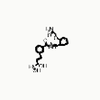 NC(=O)COc1ccccc1/C=N/NC(=O)c1cccc(/C=C/C(O)NO)c1